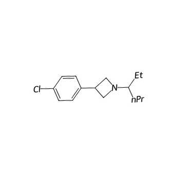 CCCC(CC)N1CC(c2ccc(Cl)cc2)C1